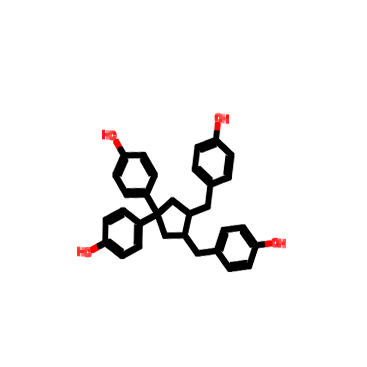 Oc1ccc(CC2CC(c3ccc(O)cc3)(c3ccc(O)cc3)CC2Cc2ccc(O)cc2)cc1